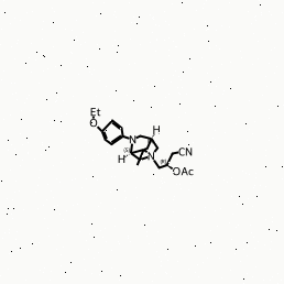 CCOc1ccc(N2C[C@H]3CN(C[C@@H](CC#N)OC(C)=O)C[C@@H]2C(C)(C)C3)cc1